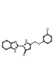 O=c1cc(CSc2cccc(Cl)c2)[nH]n1-c1nc2ccccc2[nH]1